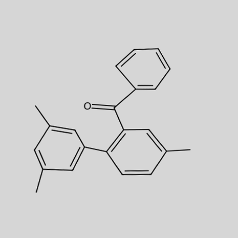 Cc1cc(C)cc(-c2ccc(C)cc2C(=O)c2ccccc2)c1